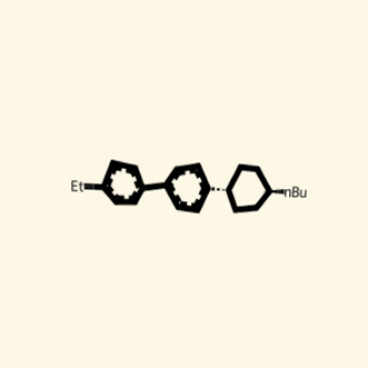 CCCC[C@H]1CC[C@H](c2ccc(-c3ccc(CC)cc3)cc2)CC1